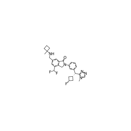 Cn1cnnc1C(c1cccc(N2Cc3c(cc(CNC4(C)CCC4)cc3C(F)F)C2=O)c1)[C@H]1C[C@H](F)C1